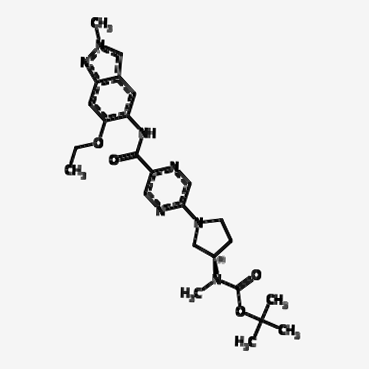 CCOc1cc2nn(C)cc2cc1NC(=O)c1cnc(N2CC[C@@H](N(C)C(=O)OC(C)(C)C)C2)cn1